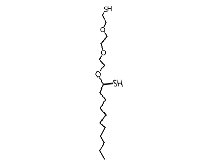 CCCCCCCCCCC(S)OCCOCCOCCS